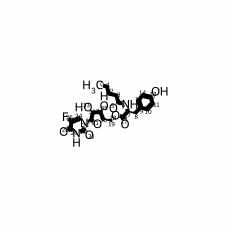 CCCCC(=O)N[C@@H](Cc1ccc(O)cc1)C(=O)OC[C@H]1O[C@@H](n2cc(F)c(=O)[nH]c2=O)[C@H](O)[C@@H]1O